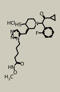 CONC(=O)CCCCn1nncc1C=C1CN(C(C(=O)C2CC2)c2ccccc2F)CCC1S.Cl